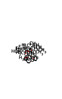 CC[C@H](C)[C@@H]([C@@H](CC(=O)N1CCC[C@H]1[C@H](OC)[C@@H](C)C(=O)N[C@H](/C=C\c1ccccc1)Cc1ccccc1)OC)N(C)[C@H](C(=O)NC(=O)[C@@H](NC)C(C)C)C(C)C.O=C(O)C(F)(F)F